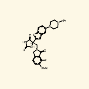 CCCN1CCN(c2ccc3oc([C@]4(CN5Cc6ccc(OC)c(F)c6C5=O)NC(=O)NC4=O)cc3c2)CC1